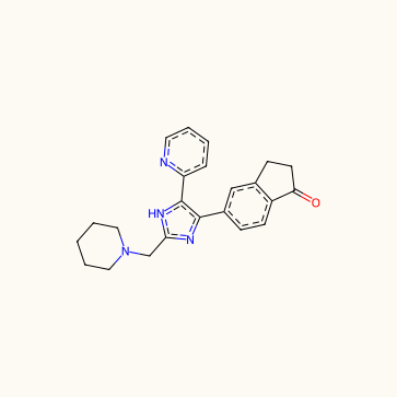 O=C1CCc2cc(-c3nc(CN4CCCCC4)[nH]c3-c3ccccn3)ccc21